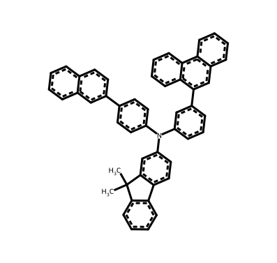 CC1(C)c2ccccc2-c2ccc(N(c3ccc(-c4ccc5ccccc5c4)cc3)c3cccc(-c4cc5ccccc5c5ccccc45)c3)cc21